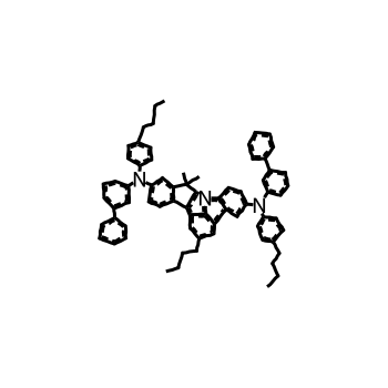 CCCCc1ccc(N(c2cccc(-c3ccccc3)c2)c2ccc3c(c2)C(C)(C)c2c-3c3cc(CCCC)cc4c5cc(N(c6ccc(CCCC)cc6)c6cccc(-c7ccccc7)c6)ccc5n2c34)cc1